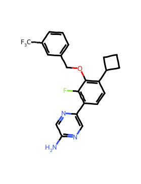 Nc1cnc(-c2ccc(C3CCC3)c(OCc3cccc(C(F)(F)F)c3)c2F)cn1